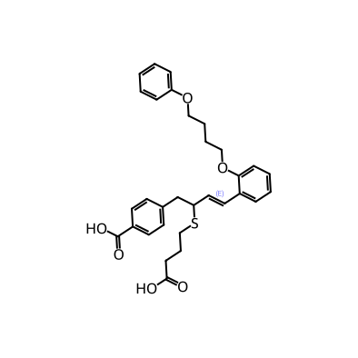 O=C(O)CCCSC(/C=C/c1ccccc1OCCCCOc1ccccc1)Cc1ccc(C(=O)O)cc1